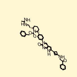 CC(=N)NCC[C@@H]1CCC[C@@H](c2ccc(-n3cc4cc(C56CC(NCC(=O)c7ccccc7)(C5)C6)[nH]c4nc3=O)cc2)N1C(=O)OCc1ccccc1